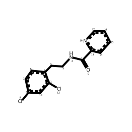 O=C(NCCc1ccc(Cl)cc1Cl)c1ccccn1